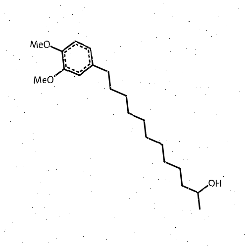 COc1ccc(CCCCCCCCCCC(C)O)cc1OC